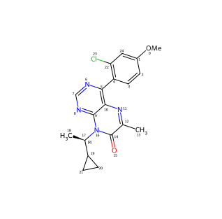 COc1ccc(-c2ncnc3c2nc(C)c(=O)n3[C@H](C)C2CC2)c(Cl)c1